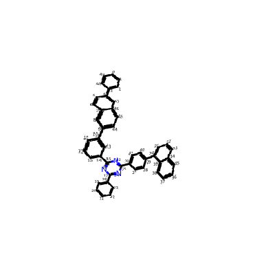 c1ccc(-c2ccc3cc(-c4cccc(-c5nc(-c6ccccc6)nc(-c6ccc(-c7cccc8ccccc78)cc6)n5)c4)ccc3c2)cc1